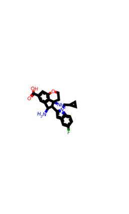 NC1c2cc(C(=O)O)cc3c2C(N)(CCO3)C1c1cc2cc(F)ccc2n1CC1CC1